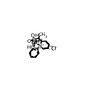 CC(C1C=CC=C[N+]1([n+]1ccccc1)P(=O)(O)O)P(=O)(O)O.[Cl-].[Cl-]